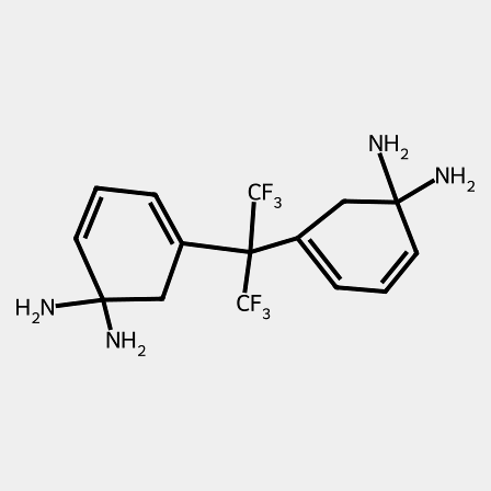 NC1(N)C=CC=C(C(C2=CC=CC(N)(N)C2)(C(F)(F)F)C(F)(F)F)C1